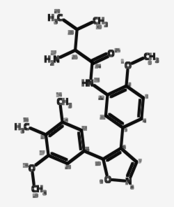 COc1ccc(-c2cnoc2-c2cc(C)c(C)c(OC)c2)cc1NC(=O)C(N)C(C)C